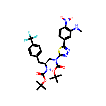 CNc1cc(-c2nnc(N(C[C@H](Cc3ccc(C(F)(F)F)cc3)NC(=O)OC(C)(C)C)C(=O)OC(C)(C)C)s2)ccc1[N+](=O)[O-]